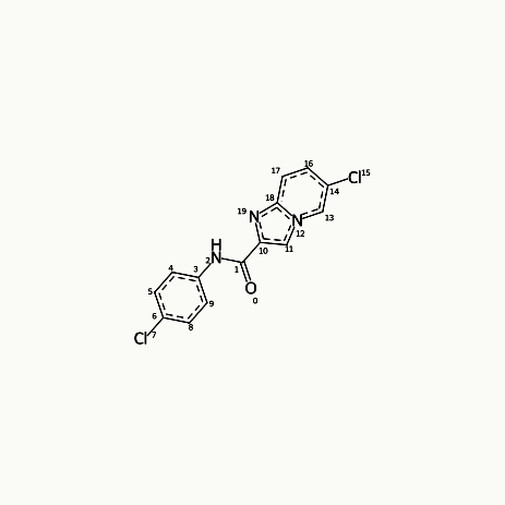 O=C(Nc1ccc(Cl)cc1)c1cn2cc(Cl)ccc2n1